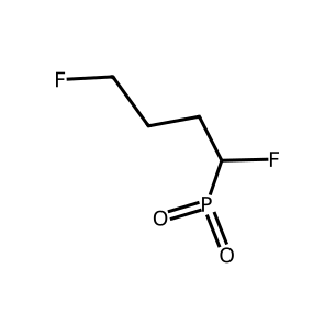 O=P(=O)C(F)CCCF